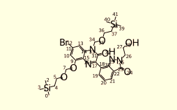 C[Si](C)(C)CCOCOc1cc(Br)cc2c1nc(-c1cccc3c(=O)n(CCO)[nH]c13)c(=O)n2COCC[Si](C)(C)C